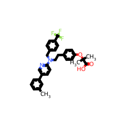 Cc1cccc(-c2ccc(N(CCc3ccc(OC(C)(C)C(=O)O)cc3)Cc3ccc(C(F)(F)F)cc3)nc2)c1